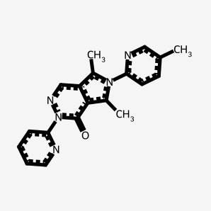 Cc1ccc(-n2c(C)c3cnn(-c4ccccn4)c(=O)c3c2C)nc1